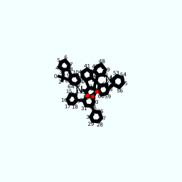 CC1(C)c2ccccc2-c2ccc(N(c3ccccc3-c3cccc(-c4ccccc4)c3)c3cccc4c3-c3ccccc3C43c4ccccc4-n4c5ccccc5c5cccc3c54)cc21